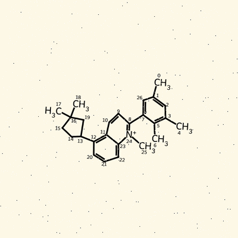 Cc1cc(C)c(C)c(-c2ccc3c(C4CCC(C)(C)C4)cccc3[n+]2C)c1